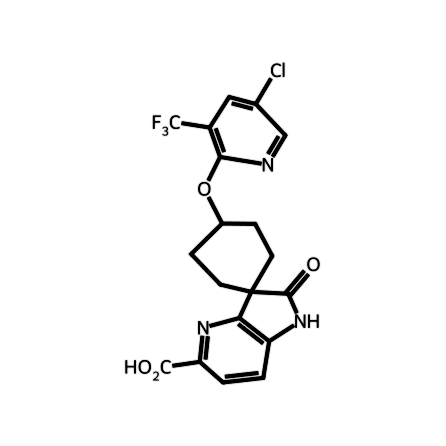 O=C(O)c1ccc2c(n1)C1(CCC(Oc3ncc(Cl)cc3C(F)(F)F)CC1)C(=O)N2